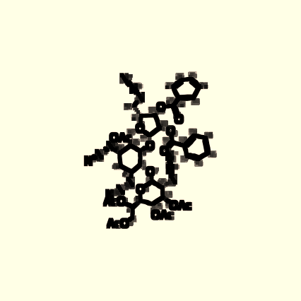 CC(=O)OCC(OC(C)=O)[C@H]1O[C@H](O[C@H]2[C@H](O[C@@H]3O[C@H](CN=[N+]=[N-])[C@H](OC(=O)c4ccccc4)[C@@H]3OC(=O)c3ccccc3)[C@@H](OC(C)=O)[C@H](N=[N+]=[N-])C[C@@H]2N=[N+]=[N-])[C@H](N=[N+]=[N-])[C@@H](OC(C)=O)[C@@H]1OC(C)=O